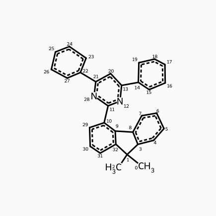 CC1(C)c2ccccc2-c2c(-c3nc(-c4ccccc4)cc(-c4ccccc4)n3)cccc21